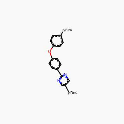 CCCCCCCCCCc1cnc(-c2ccc(Oc3ccc(CCCCCC)cc3)cc2)nc1